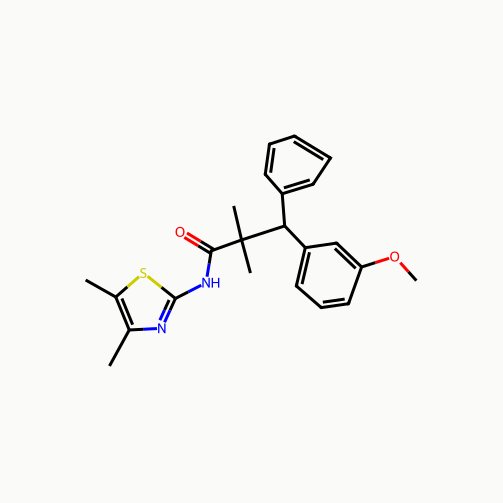 COc1cccc(C(c2ccccc2)C(C)(C)C(=O)Nc2nc(C)c(C)s2)c1